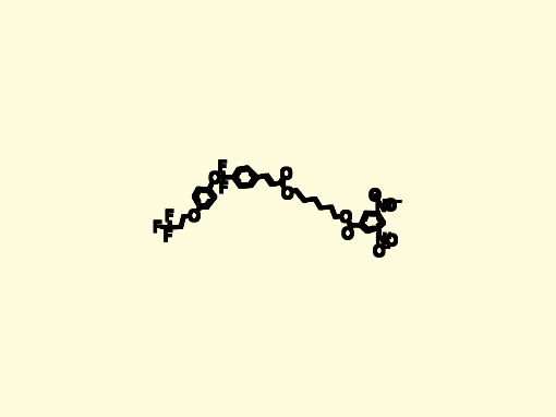 O=C(C=Cc1ccc(C(F)(F)Oc2ccc(OCCC(F)(F)F)cc2)cc1)OCCCCCCOC(=O)c1cc([N+](=O)[O-])cc([N+](=O)[O-])c1